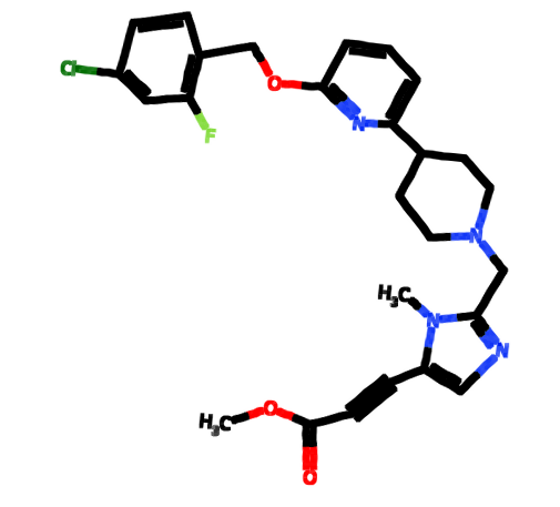 COC(=O)C#Cc1cnc(CN2CCC(c3cccc(OCc4ccc(Cl)cc4F)n3)CC2)n1C